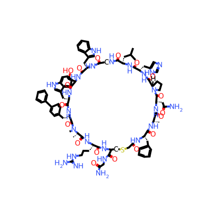 CC(C)C[C@@H]1NC(=O)[C@H](Cc2cnc[nH]2)NC(=O)[C@@H]2CCCN2C(=O)[C@H](CC(N)=O)NC(=O)[C@H](C)NC(=O)[C@H](Cc2ccccc2)NC(=O)CSCC(C(=O)NCC(N)=O)NC(=O)[C@H](CCCNC(=N)N)NC(=O)[C@H](C)N(C)C(=O)[C@H](Cc2ccc(-c3ccccc3)cc2)NC(=O)[C@H](Cc2c[nH]c3ccccc23)NC(=O)C(CO)NC(=O)[C@H](Cc2c[nH]c3ccccc23)NC(=O)CNC1=O